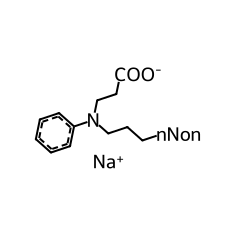 CCCCCCCCCCCCN(CCC(=O)[O-])c1ccccc1.[Na+]